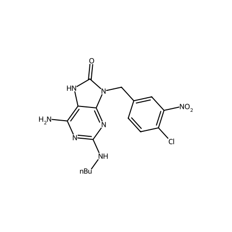 CCCCNc1nc(N)c2[nH]c(=O)n(Cc3ccc(Cl)c([N+](=O)[O-])c3)c2n1